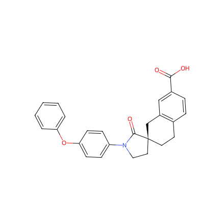 O=C(O)c1ccc2c(c1)C[C@@]1(CC2)CCN(c2ccc(Oc3ccccc3)cc2)C1=O